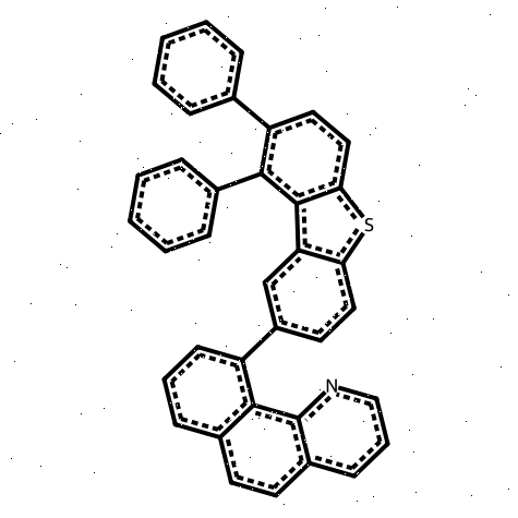 c1ccc(-c2ccc3sc4ccc(-c5cccc6ccc7cccnc7c56)cc4c3c2-c2ccccc2)cc1